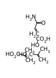 C=C(C)C(=O)O.C=C(C)C(=O)O.C=CC(N)=O.O=C(O)O